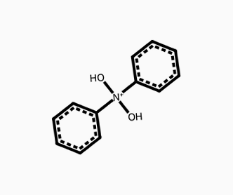 O[N+](O)(c1ccccc1)c1ccccc1